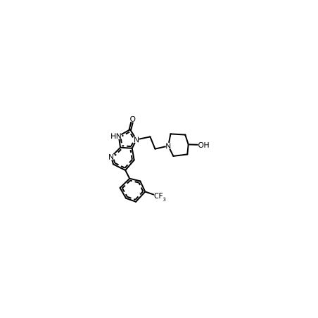 O=c1[nH]c2ncc(-c3cccc(C(F)(F)F)c3)cc2n1CCN1CCC(O)CC1